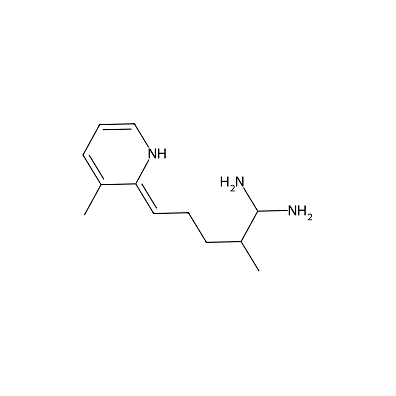 CC1=CC=CN/C1=C\CCC(C)C(N)N